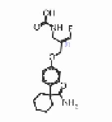 NC(=O)C1(c2ccc(OC/C(=C/F)CNC(=O)O)cc2)CCCCC1